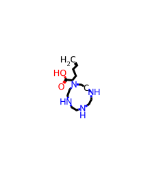 C=CCCC(C(=O)O)N1CCNCCNCCNCC1